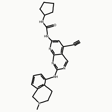 C#Cc1cc(NC(=O)NC2CCCC2)nc2nc(Nc3cccc4c3CCN(C)C4)ncc12